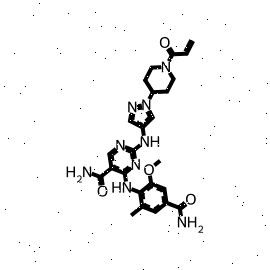 C=CC(=O)N1CCC(n2cc(Nc3ncc(C(N)=O)c(Nc4c(C)cc(C(N)=O)cc4OC)n3)cn2)CC1